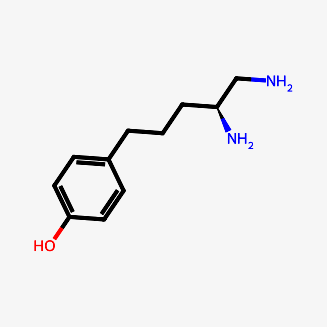 NC[C@@H](N)CCCc1ccc(O)cc1